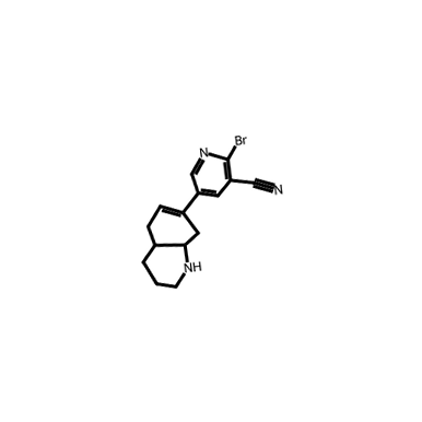 N#Cc1cc(C2=CCC3CCCNC3C2)cnc1Br